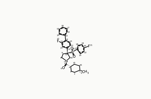 C[C@H]1CC[C@H](C(=O)N2CC[C@](c3ccc(-c4ccccc4)c(F)c3)(S(=O)(=O)c3ccc(F)cc3)C2)CC1